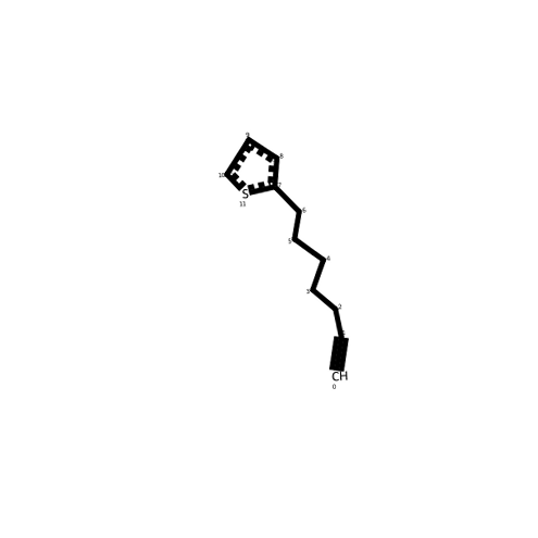 C#CCCCCCc1cccs1